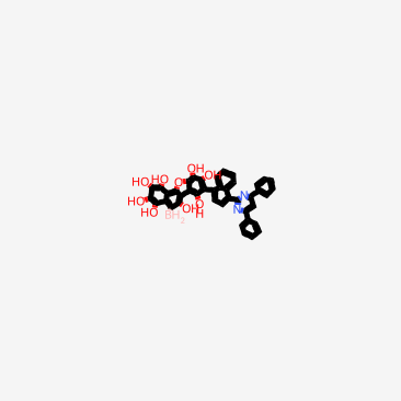 Bc1c(O)c2c(oc3c(O)c(O)c(-c4ccc(-c5nc(-c6ccccc6)cc(-c6ccccc6)n5)c5ccccc45)c(O)c32)c2c(O)c(O)c(O)c(O)c12